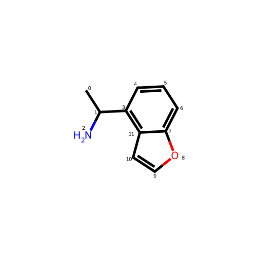 CC(N)c1cccc2occc12